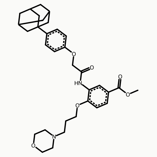 COC(=O)c1ccc(OCCCN2CCOCC2)c(NC(=O)COc2ccc(C34CC5CC(CC(C5)C3)C4)cc2)c1